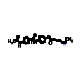 C/C=C\CCCC(=O)Oc1ccc(NC(=O)c2ccc(NC(C)=O)cc2)cc1